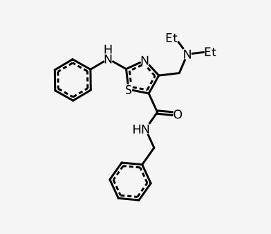 CCN(CC)Cc1nc(Nc2ccccc2)sc1C(=O)NCc1ccccc1